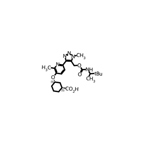 Cc1nc(-c2nnn(C)c2COC(=O)NC(C)C(C)(C)C)ccc1O[C@H]1CCC[C@H](C(=O)O)C1